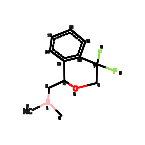 CB(C#N)CC1OCC(F)(F)c2ccccc21